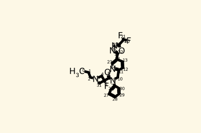 CCCN1CC(F)(C(=O)N(Cc2ccc(-c3nnc(C(F)F)o3)cn2)c2ccccc2)C1